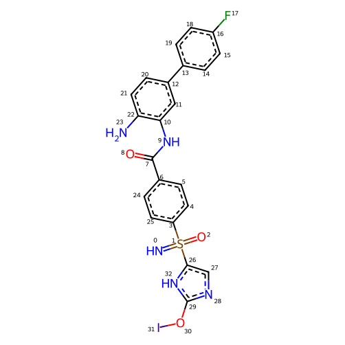 N=S(=O)(c1ccc(C(=O)Nc2cc(-c3ccc(F)cc3)ccc2N)cc1)c1cnc(OI)[nH]1